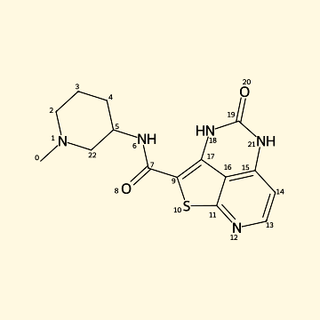 CN1CCCC(NC(=O)c2sc3nccc4c3c2NC(=O)N4)C1